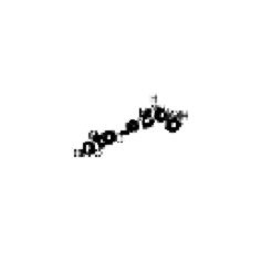 O=C1CCC(N2Cc3cc(OCCN4CCC(N5CCN6c7cc(-c8ccccc8O)nnc7NC[C@H]6C5)C4)ccc3C2=O)C(=O)N1